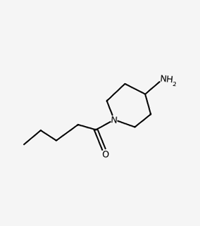 CCCCC(=O)N1CCC(N)CC1